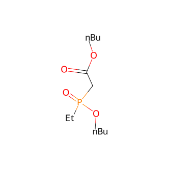 CCCCOC(=O)CP(=O)(CC)OCCCC